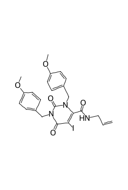 C=CCNC(=O)c1c(I)c(=O)n(Cc2ccc(OC)cc2)c(=O)n1Cc1ccc(OC)cc1